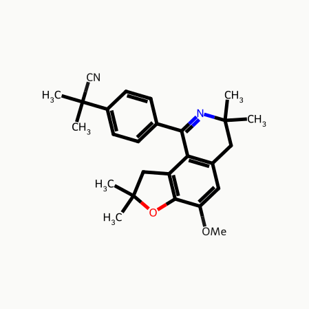 COc1cc2c(c3c1OC(C)(C)C3)C(c1ccc(C(C)(C)C#N)cc1)=NC(C)(C)C2